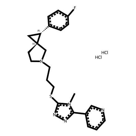 Cl.Cl.Cn1c(SCCCN2CC[C@]3(C[C@@H]3c3ccc(F)cc3)C2)nnc1-c1cccnc1